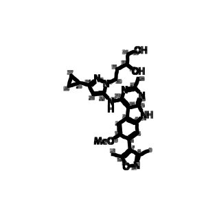 COc1cc2c(cc1-c1c(C)noc1C)[nH]c1nc(C)nc(Nc3cc(C4CC4)nn3CCC(O)CO)c12